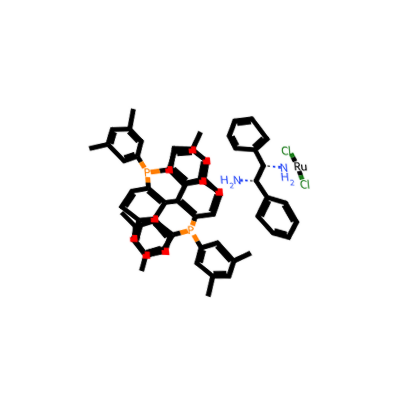 Cc1cc(C)cc(P(c2cc(C)cc(C)c2)c2ccc3ccccc3c2-c2c(P(c3cc(C)cc(C)c3)c3cc(C)cc(C)c3)ccc3ccccc23)c1.N[C@@H](c1ccccc1)[C@@H](N)c1ccccc1.[Cl][Ru][Cl]